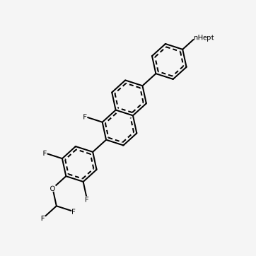 CCCCCCCc1ccc(-c2ccc3c(F)c(-c4cc(F)c(OC(F)F)c(F)c4)ccc3c2)cc1